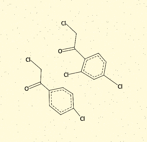 O=C(CCl)c1ccc(Cl)cc1.O=C(CCl)c1ccc(Cl)cc1Cl